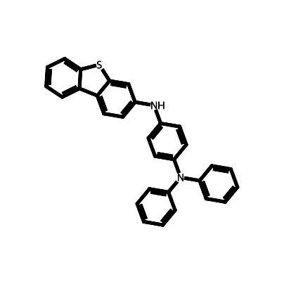 c1ccc(N(c2ccccc2)c2ccc(Nc3ccc4c(c3)sc3ccccc34)cc2)cc1